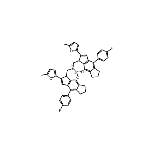 Cc1ccc(C2=Cc3c(cc4c(c3-c3ccc(F)cc3)CCC4)C2C[SiH](CC2C(c3ccc(C)o3)=Cc3c2cc2c(c3-c3ccc(F)cc3)CCC2)[Zr]([Cl])[Cl])o1